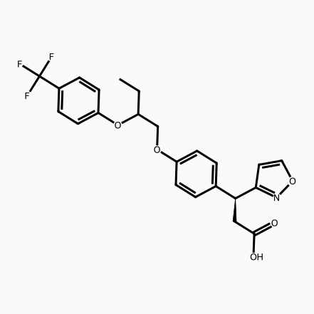 CCC(COc1ccc([C@H](CC(=O)O)c2ccon2)cc1)Oc1ccc(C(F)(F)F)cc1